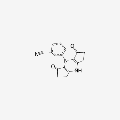 N#Cc1cccc(N2C3=C(CCC3=O)NC3=C2C(=O)CC3)c1